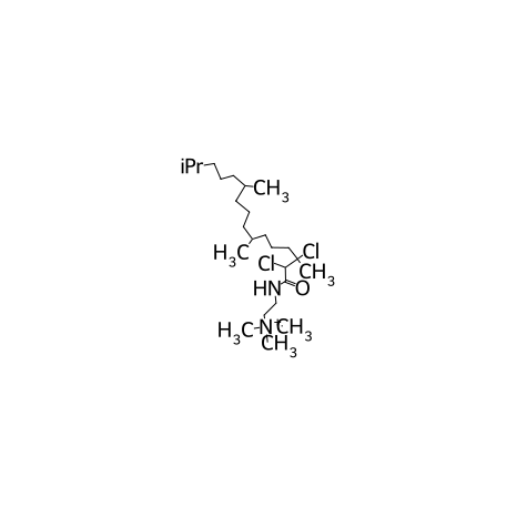 CC(C)CCCC(C)CCCC(C)CCCC(C)(Cl)C(Cl)C(=O)NCC[N+](C)(C)C